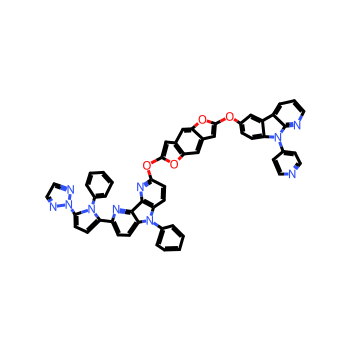 c1ccc(-n2c(-c3ccc4c(n3)c3nc(Oc5cc6cc7oc(Oc8ccc9c(c8)c8cccnc8n9-c8ccncc8)cc7cc6o5)ccc3n4-c3ccccc3)ccc2-n2nccn2)cc1